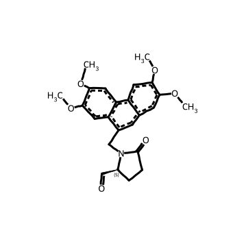 COc1cc2cc(CN3C(=O)CC[C@H]3C=O)c3cc(OC)c(OC)cc3c2cc1OC